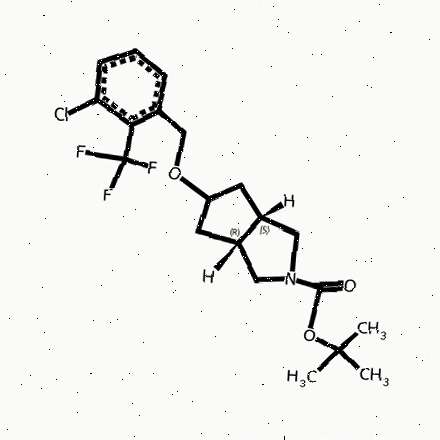 CC(C)(C)OC(=O)N1C[C@H]2CC(OCc3cccc(Cl)c3C(F)(F)F)C[C@H]2C1